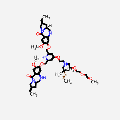 C/C=C1\CC2CNc3cc(OCC4C=C(OCCN(CCOCCOCCOC)CC(C)(C)SSC)C=C(COc5cc6c(cc5OC)C(=O)N5C/C(=C/C)C[C@H]5C=N6)N4)c(OC)cc3C(=O)N2C1